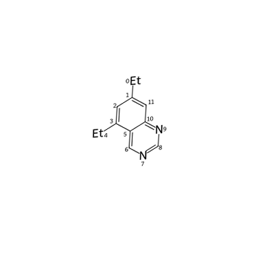 CCc1cc(CC)c2cncnc2c1